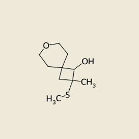 CSC1(C)CC2(CCOCC2)C1O